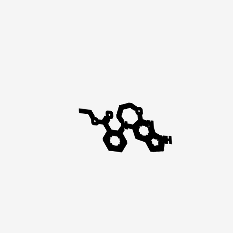 CCOC(=O)c1ccccc1N1CCCOc2nc3[nH]ccc3cc21